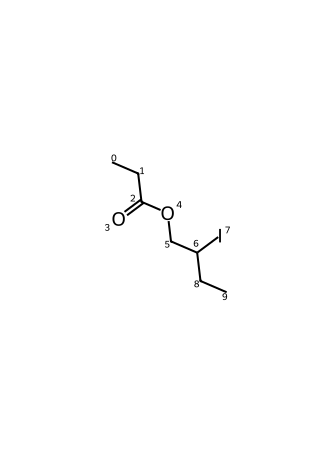 CCC(=O)OCC(I)CC